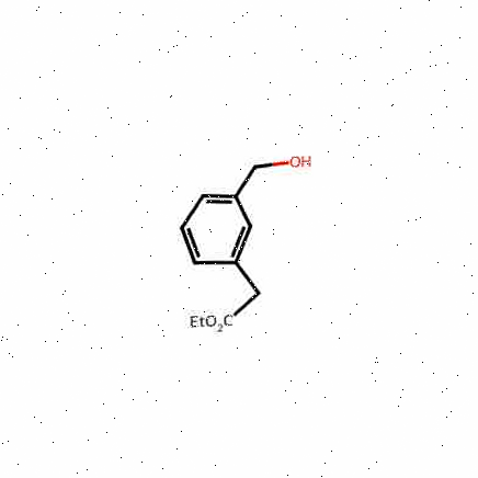 CCOC(=O)Cc1cccc(CO)c1